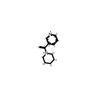 C=C(c1cccnc1)N1CCCCC1